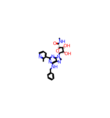 CNC(=O)[C@H]1OC(n2cnc3c(NCc4ccccc4)nc(-c4cccnc4C)nc32)[C@H](O)[C@@H]1O